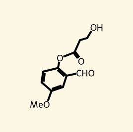 COc1ccc(OC(=O)CCO)c(C=O)c1